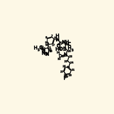 C[C@@H](NC(=O)Nc1cccc(-c2nnnn2C)c1)[C@@H](O)CN(CCCc1ccc(F)cc1)C1CC1